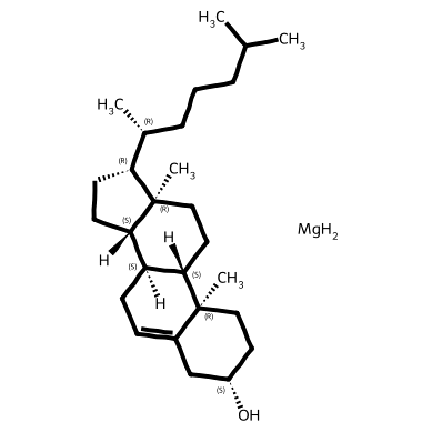 CC(C)CCC[C@@H](C)[C@H]1CC[C@H]2[C@@H]3CC=C4C[C@@H](O)CC[C@]4(C)[C@H]3CC[C@]12C.[MgH2]